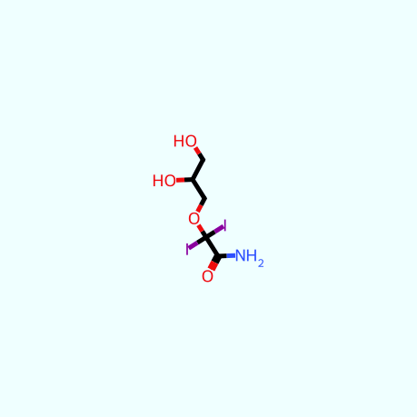 NC(=O)C(I)(I)OCC(O)CO